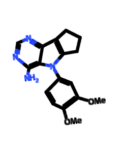 COc1ccc(-n2c3c(c4ncnc(N)c42)CCC3)cc1OC